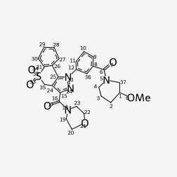 COC1CCCN(C(=O)c2cccc(-n3nc(C(=O)N4CCOCC4)c4c3-c3ccccc3S(=O)(=O)C4)c2)C1